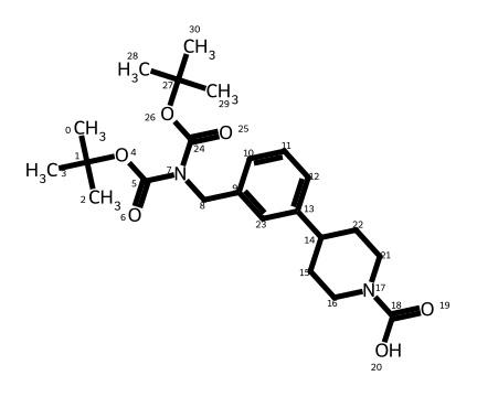 CC(C)(C)OC(=O)N(Cc1cccc(C2CCN(C(=O)O)CC2)c1)C(=O)OC(C)(C)C